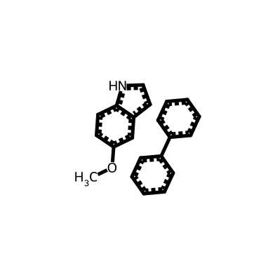 COc1ccc2[nH]ccc2c1.c1ccc(-c2ccccc2)cc1